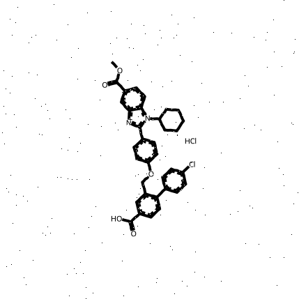 COC(=O)c1ccc2c(c1)nc(-c1ccc(OCc3cc(C(=O)O)ccc3-c3ccc(Cl)cc3)cc1)n2C1CCCCC1.Cl